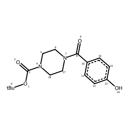 CC(C)(C)OC(=O)N1CCN(C(=O)c2ccc(O)cc2)CC1